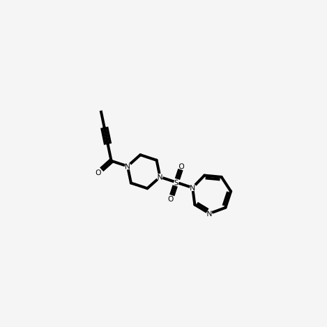 CC#CC(=O)N1CCN(S(=O)(=O)N2C=CC=CN=C2)CC1